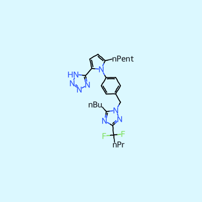 CCCCCc1ccc(-c2nnn[nH]2)n1-c1ccc(Cn2nc(C(F)(F)CCC)nc2CCCC)cc1